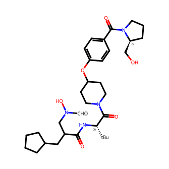 CC(C)(C)[C@H](NC(=O)C(CC1CCCC1)CN(O)C=O)C(=O)N1CCC(Oc2ccc(C(=O)N3CCC[C@H]3CO)cc2)CC1